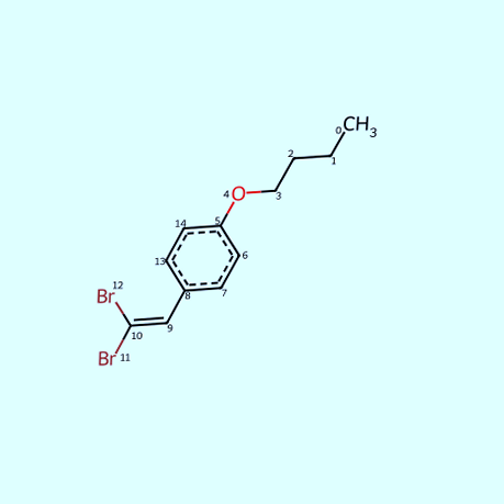 CCCCOc1ccc(C=C(Br)Br)cc1